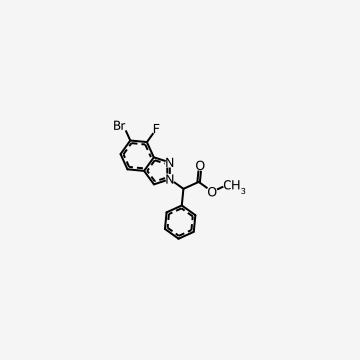 COC(=O)C(c1ccccc1)n1cc2ccc(Br)c(F)c2n1